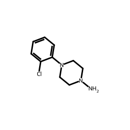 NN1CCN(c2ccccc2Cl)CC1